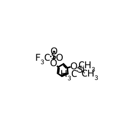 C[Si](C)(C)Oc1cccc(OS(=O)(=O)C(F)(F)F)c1